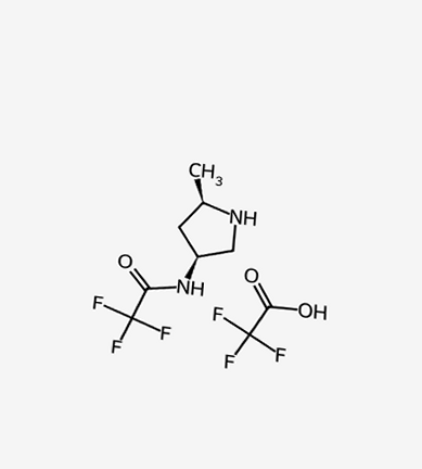 C[C@@H]1C[C@H](NC(=O)C(F)(F)F)CN1.O=C(O)C(F)(F)F